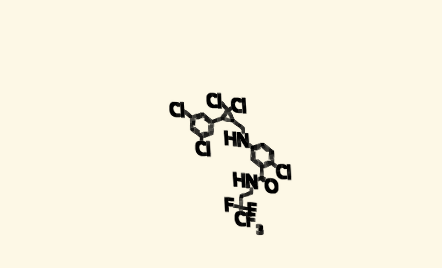 O=C(NCCC(F)(F)C(F)(F)F)c1cc(NCC2C(c3cc(Cl)cc(Cl)c3)C2(Cl)Cl)ccc1Cl